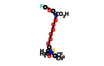 CC1(C)C(=O)N(c2ccc(C#N)c(C(F)(F)F)c2)C(=S)N1c1ccc(OCCOCCOCCOCCOCCOCCN(Cc2cccc(OCc3ccc(F)cc3)c2)C(=O)O)cc1